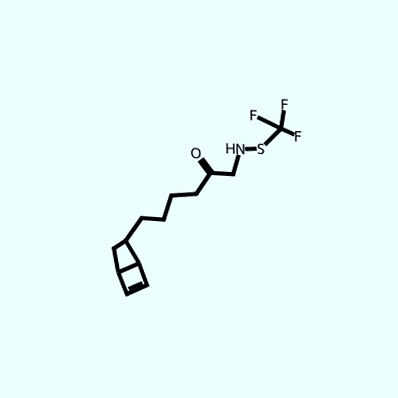 O=C(CCCCC1CC2C=CC21)CNSC(F)(F)F